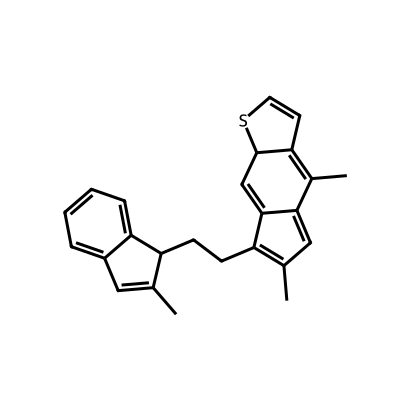 CC1=Cc2ccccc2C1CCC1=C(C)C=C2C1=CC1SC=CC1=C2C